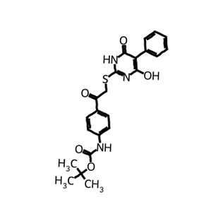 CC(C)(C)OC(=O)Nc1ccc(C(=O)CSc2nc(O)c(-c3ccccc3)c(=O)[nH]2)cc1